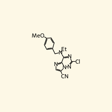 CCN(Cc1ccc(OC)cc1)c1nc(Cl)nn2c(C#N)cnc12